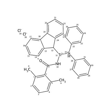 Cc1cccc(C)c1C(=O)[NH][Ti+2]([CH]1c2ccccc2-c2ccccc21)[SiH](c1ccccc1)c1ccccc1.[Cl-].[Cl-]